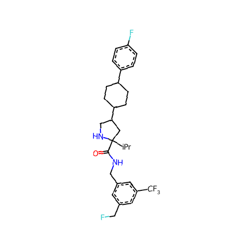 CC(C)C1(C(=O)NCc2cc(CF)cc(C(F)(F)F)c2)CC(C2CCC(c3ccc(F)cc3)CC2)CN1